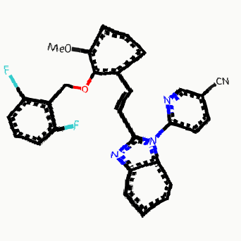 COc1cccc(C=Cc2nc3ccccc3n2-c2ccc(C#N)cn2)c1OCc1c(F)cccc1F